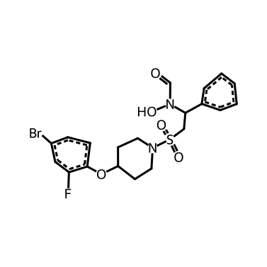 O=CN(O)C(CS(=O)(=O)N1CCC(Oc2ccc(Br)cc2F)CC1)c1ccccc1